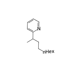 CCCCCCCCC(C)c1ccccn1